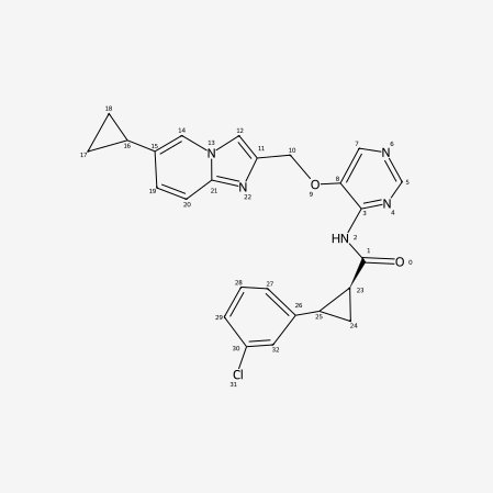 O=C(Nc1ncncc1OCc1cn2cc(C3CC3)ccc2n1)[C@H]1CC1c1cccc(Cl)c1